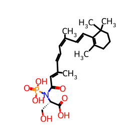 CC1=C(/C=C/C(C)=C\C=C\C(C)=C\C(=O)N([C@@H](CO)C(=O)O)P(=O)(O)O)C(C)(C)CCC1